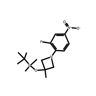 CC1(O[Si](C)(C)C(C)(C)C)CN(c2ccc([N+](=O)[O-])cc2F)C1